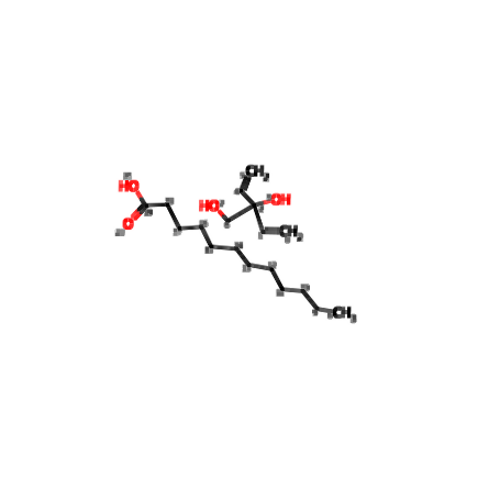 C=CC(O)(C=C)CO.CCCCCCCCCCCC(=O)O